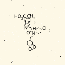 CC(C)(Sc1cnc(NC(=O)N(CCc2ccc3c(c2)OCO3)[C@H]2CC[C@H](C)CC2)s1)C(=O)O